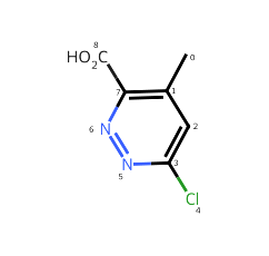 Cc1cc(Cl)nnc1C(=O)O